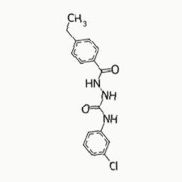 CCc1ccc(C(=O)NNC(=O)Nc2cccc(Cl)c2)cc1